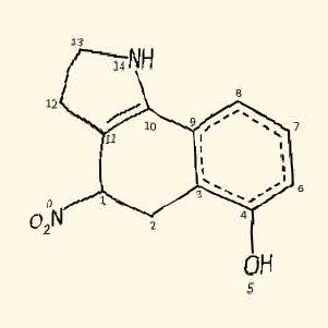 O=[N+]([O-])C1Cc2c(O)cccc2C2=C1CCN2